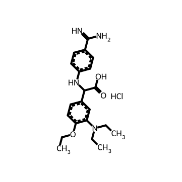 CCOc1ccc(C(Nc2ccc(C(=N)N)cc2)C(=O)O)cc1N(CC)CC.Cl